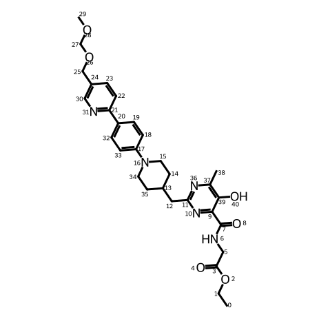 CCOC(=O)CNC(=O)c1nc(CC2CCN(c3ccc(-c4ccc(COCOC)cn4)cc3)CC2)nc(C)c1O